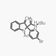 C=C1c2ccccc2N(C(C)=O)C1(C(=O)NC(C)(C)C)c1ccc(Br)cn1